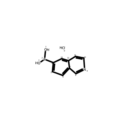 Cl.OB(O)c1ccc2cnccc2c1